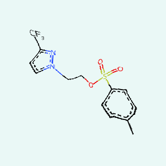 Cc1ccc(S(=O)(=O)OCCn2ccc(C(F)(F)F)n2)cc1